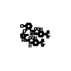 Cc1sccc1NC(=O)Nc1ccc([N+](=O)[O-])cc1O.O=C(Nc1ccc([N+](=O)[O-])cc1O)Nc1cccc(Cl)c1Cl